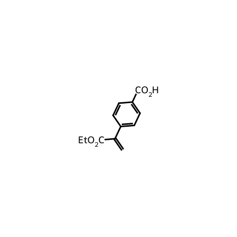 C=C(C(=O)OCC)c1ccc(C(=O)O)cc1